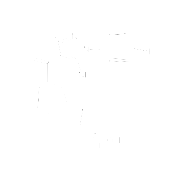 CC(C)(O)CCc1cccc(C(=O)c2cnn(-c3ccc(F)cc3)c2N)c1